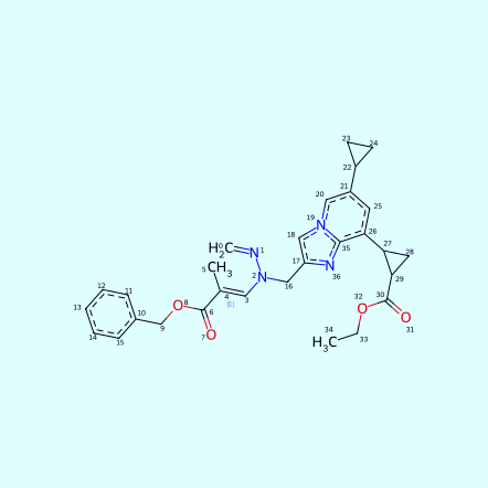 C=NN(/C=C(\C)C(=O)OCc1ccccc1)Cc1cn2cc(C3CC3)cc(C3CC3C(=O)OCC)c2n1